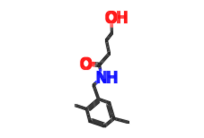 Cc1ccc(C)c(CNC(=O)CCCO)c1